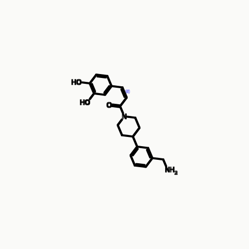 NCc1cccc(C2CCN(C(=O)/C=C\c3ccc(O)c(O)c3)CC2)c1